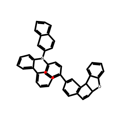 C1=CC2Oc3ccccc3C2c2cc(-c3ccc(N(c4ccc5ccccc5c4)c4ccccc4-c4ccccc4)cc3)ccc21